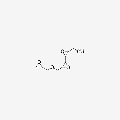 OCC1OC1C1OC1COCC1CO1